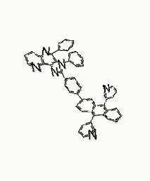 c1ccc(-c2nc3cccnc3c3nc(-c4ccc(-c5ccc6c(-c7cccnc7)c7ccccc7c(-c7cccnc7)c6c5)cc4)n(-c4ccccc4)c23)cc1